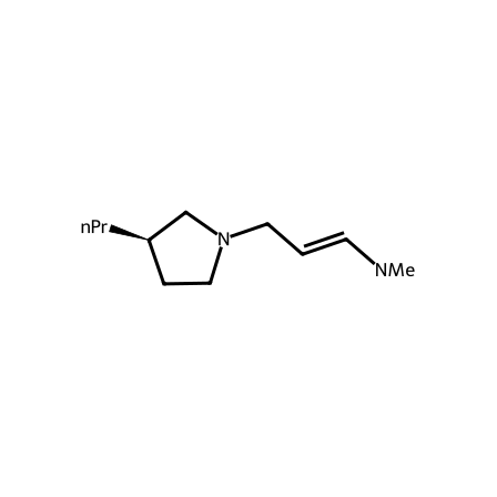 CCC[C@@H]1CCN(C/C=C/NC)C1